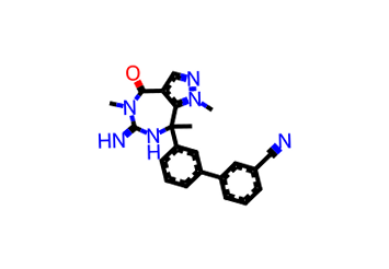 CN1C(=N)NC(C)(c2cccc(-c3cccc(C#N)c3)c2)c2c(cnn2C)C1=O